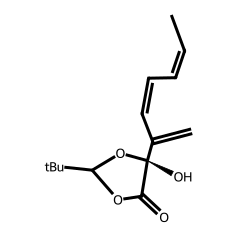 C=C(/C=C\C=C/C)[C@@]1(O)OC(C(C)(C)C)OC1=O